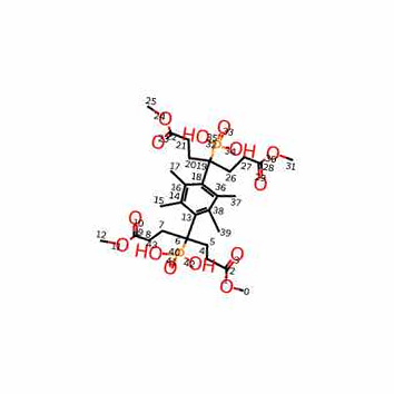 COC(=O)CCC(CCC(=O)OC)(c1c(C)c(C)c(C(CCC(=O)OC)(CCC(=O)OC)P(=O)(O)O)c(C)c1C)P(=O)(O)O